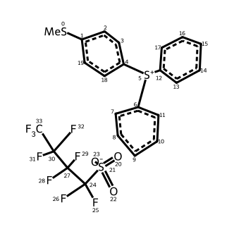 CSc1ccc([S+](c2ccccc2)c2ccccc2)cc1.O=S(=O)([O-])C(F)(F)C(F)(F)C(F)(F)C(F)(F)F